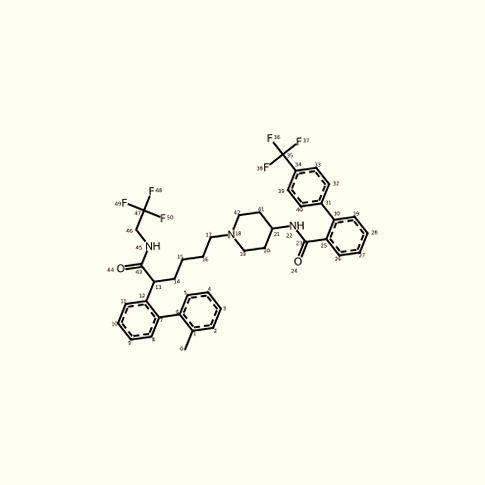 Cc1ccccc1-c1ccccc1C(CCCCN1CCC(NC(=O)c2ccccc2-c2ccc(C(F)(F)F)cc2)CC1)C(=O)NCC(F)(F)F